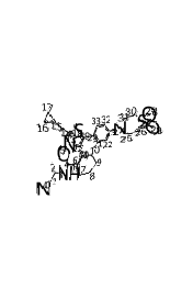 N#CCNC(=O)[C@@H]1CCCC[C@H]1c1nc(C2CC2)sc1-c1ccc(N2CCS(=O)(=O)CC2)cc1